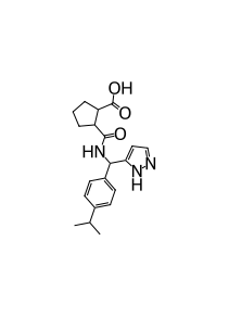 CC(C)c1ccc(C(NC(=O)C2CCCC2C(=O)O)c2ccn[nH]2)cc1